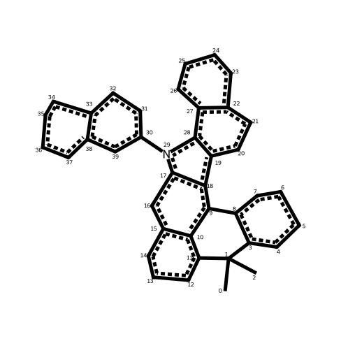 CC1(C)c2ccccc2-c2c3c1cccc3cc1c2c2ccc3ccccc3c2n1-c1ccc2ccccc2c1